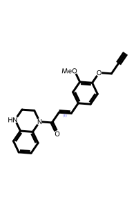 C#CCOc1ccc(/C=C/C(=O)N2CCNc3ccccc32)cc1OC